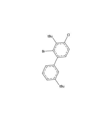 CC(C)(C)c1cccc(-c2ccc(Cl)c(C(C)(C)C)c2Br)c1